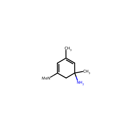 CNC1=CC(C)=CC(C)(N)C1